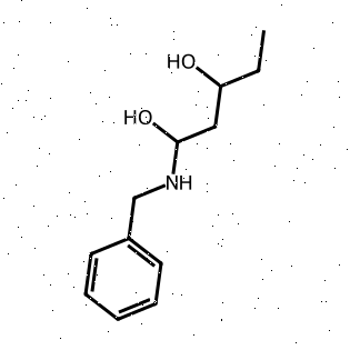 CCC(O)CC(O)NCc1ccccc1